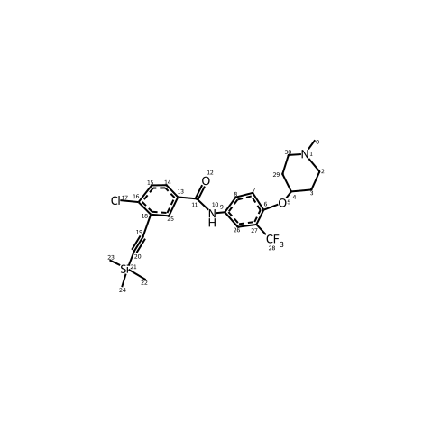 CN1CCC(Oc2ccc(NC(=O)c3ccc(Cl)c(C#C[Si](C)(C)C)c3)cc2C(F)(F)F)CC1